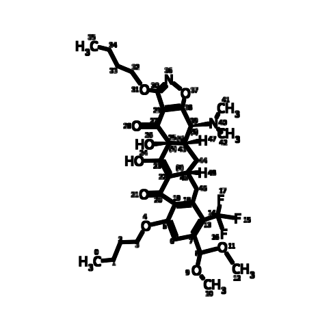 CCCCOc1cc(C(OC)OC)c(C(F)(F)F)c2c1C(=O)C1=C(O)[C@]3(O)C(=O)c4c(OCCCC)noc4[C@@H](N(C)C)[C@@H]3C[C@@H]1C2